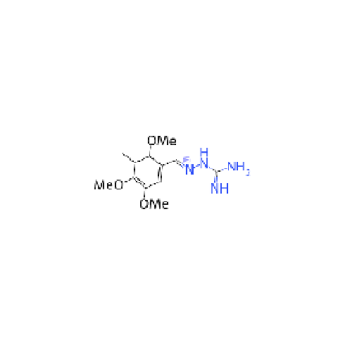 COC1=C(OC)C(C)C(OC)C(/C=N/NC(=N)N)=C1